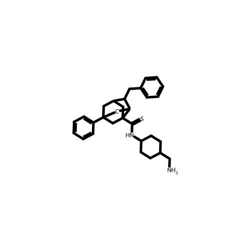 NCC1CCC(NC(=S)C23CC4CC(c5ccccc5)(CC2C4Cc2ccccc2)C3)CC1